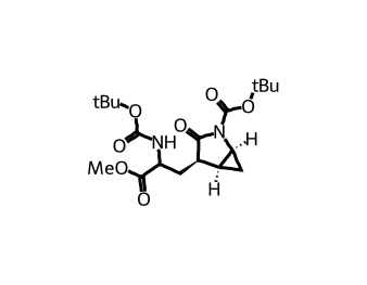 COC(=O)C(C[C@H]1C(=O)N(C(=O)OC(C)(C)C)[C@H]2C[C@@H]12)NC(=O)OC(C)(C)C